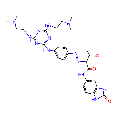 CC(=O)C(N=Nc1ccc(Nc2nc(NCCN(C)C)nc(NCCN(C)C)n2)cc1)C(=O)Nc1ccc2[nH]c(=O)[nH]c2c1